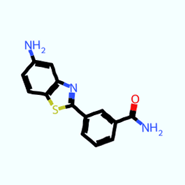 NC(=O)c1cccc(-c2nc3cc(N)ccc3s2)c1